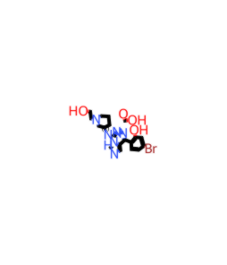 O=CO.OCCN1CCC[C@@H](Nc2nnc(-c3ccc(Br)cc3O)c3cncn23)C1